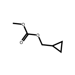 COC(=O)OCC1CC1